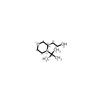 CC(C)(C)N1CCOC[C@H]1CCO